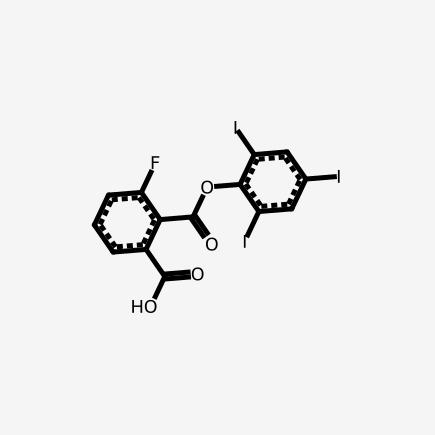 O=C(O)c1cccc(F)c1C(=O)Oc1c(I)cc(I)cc1I